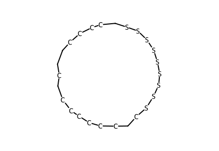 C1CCCCCCCCSSSSSSSSSCCCCCCCC1